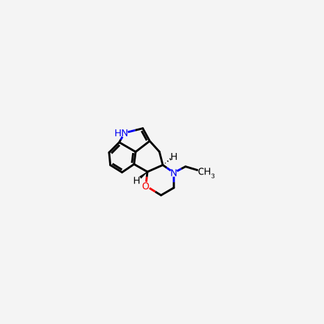 CCN1CCO[C@@H]2c3cccc4[nH]cc(c34)C[C@H]21